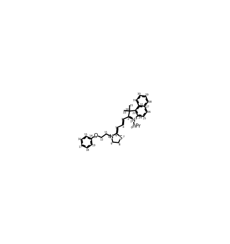 CCC[N+]1=C(/C=C/C=C2\SCCN2CCOc2ccccc2)C(C)(C)c2c1ccc1ccccc21